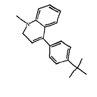 CN1CC=C(c2ccc(C(C)(C)C)cc2)c2ccccc21